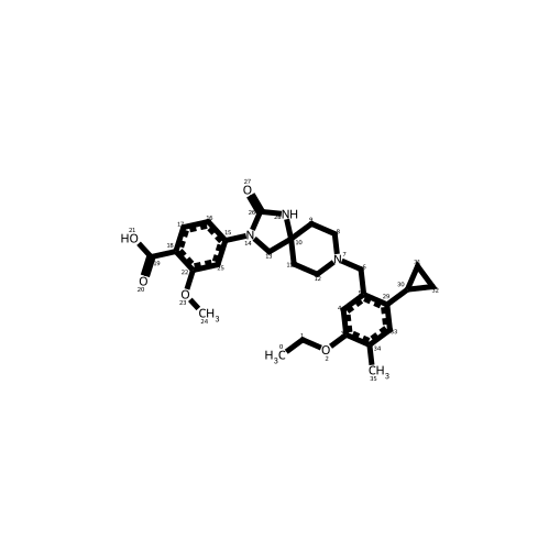 CCOc1cc(CN2CCC3(CC2)CN(c2ccc(C(=O)O)c(OC)c2)C(=O)N3)c(C2CC2)cc1C